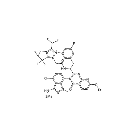 CCOc1ccc2c(=O)n(-c3ccc(Cl)c4c(NSC)nn(C)c34)c(C(Cc3cc(F)cc(F)c3)NC(=O)Cn3nc(C(F)F)c4c3C(F)(F)C3CC43)nc2n1